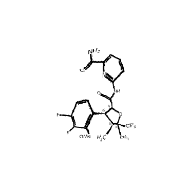 COc1c([C@H]2[C@@H](C(=O)Nc3cccc(C(N)=O)n3)O[C@@](C)(C(F)(F)F)[C@H]2C)ccc(F)c1F